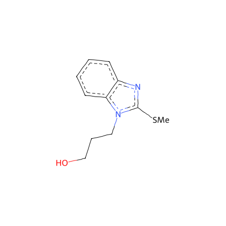 CSc1nc2ccccc2n1CCCO